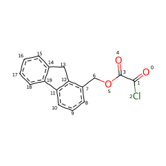 O=C(Cl)C(=O)OCc1cccc2c1Cc1ccccc1-2